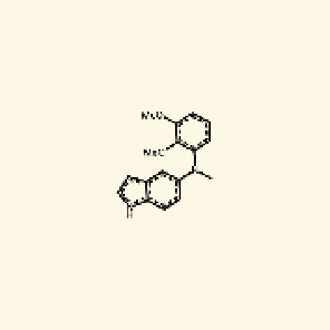 COc1cccc(N(C)c2ccc3[nH]ccc3c2)c1OC